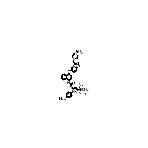 Cc1ccc(-n2nc(C(C)(C)C)cc2NC(=O)NC2CCC(Oc3ccc4nnc(CN5CCN(C)CC5)n4c3)c3ccccc32)cc1